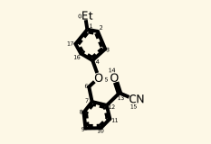 CCc1ccc(OCc2ccccc2C(=O)C#N)cc1